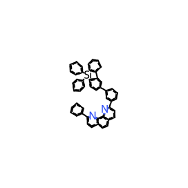 c1ccc(-c2ccc3ccc4ccc(-c5cccc(-c6ccc7c(c6)-c6ccccc6[Si]7(c6ccccc6)c6ccccc6)c5)nc4c3n2)cc1